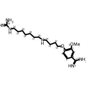 COc1cc(C(=N)N)ccc1OCCCCNCCCCCCCNC(=N)N